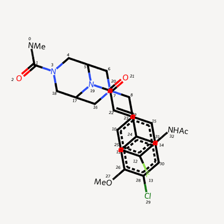 CNC(=O)N1CC2CN(Cc3ccc(F)cc3)CC(C1)N2C(=O)C=Cc1cc(OC)c(Cl)cc1NC(C)=O